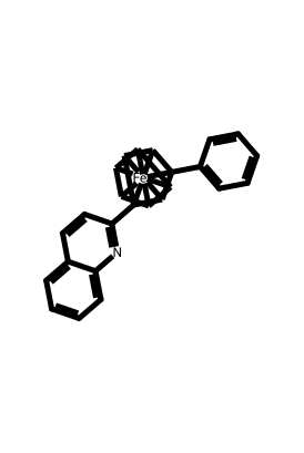 c1ccc([C]23[CH]4[CH]5[C]6(c7ccc8ccccc8n7)[CH]2[Fe]45362789[CH]3[CH]2[CH]7[CH]8[CH]39)cc1